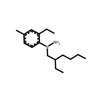 CCCCC(CC)CN(N)c1ccc(C)cc1CC